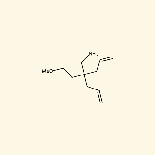 C=CCC(CN)(CC=C)CCOC